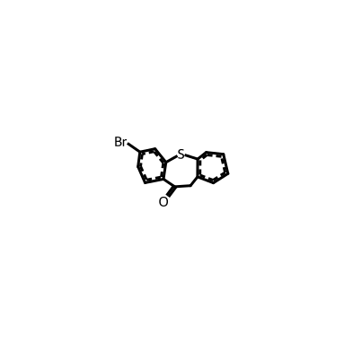 O=C1Cc2ccccc2Sc2cc(Br)ccc21